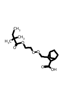 CCC(C)(C)C(=O)OCCOOCC1C2CCC(C2)C1C(=O)O